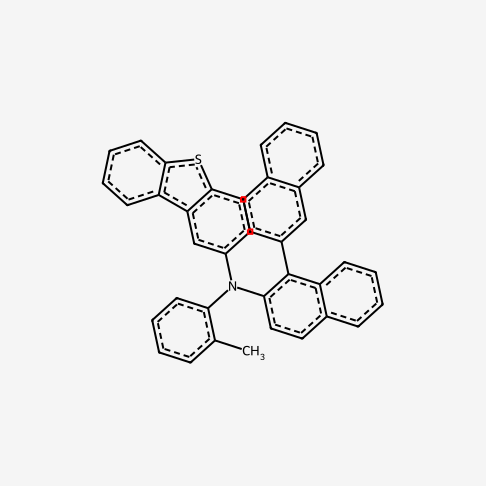 Cc1ccccc1N(c1ccc2sc3ccccc3c2c1)c1ccc2ccccc2c1-c1ccc2ccccc2c1